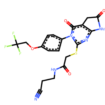 N#CCCNC(=O)CSc1nc2c(c(=O)n1-c1ccc(OCC(F)(F)F)cc1)CC(=O)N2